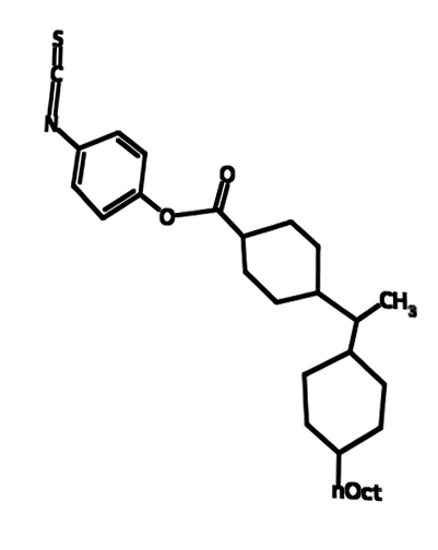 CCCCCCCCC1CCC(C(C)C2CCC(C(=O)Oc3ccc(N=C=S)cc3)CC2)CC1